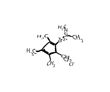 CC1=C(C)C(C)[C]([Zr+2][SiH](C)C)=C1C.[Cl-].[Cl-]